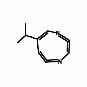 CC(C)/C1=C/N=C=CN=C=C1